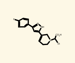 CCC(C(=O)O)N1CCC=C(c2cc(-c3ccc(F)cc3)n[nH]2)C1